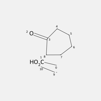 CC(=O)O.O=C1CCCCC1.[CH2]C